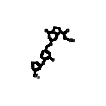 CC(C)(C)OC(=O)N1CCn2c1cc(OCc1ccc(Oc3cncc(C(F)(F)F)c3)c(F)c1)nc2=O